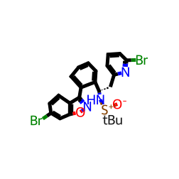 CC(C)(C)[S+]([O-])N[C@@H](Cc1cccc(Br)n1)c1ccccc1-c1noc2cc(Br)ccc12